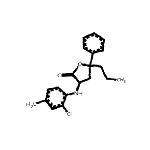 CCCC1(c2ccccc2)CC(Nc2ccc(C)cc2Cl)C(=O)O1